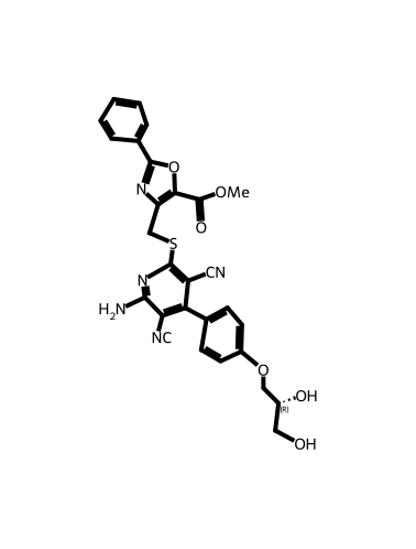 [C-]#[N+]c1c(N)nc(SCc2nc(-c3ccccc3)oc2C(=O)OC)c(C#N)c1-c1ccc(OC[C@H](O)CO)cc1